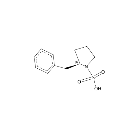 O=S(=O)(O)N1CCC[C@@H]1Cc1ccccc1